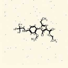 CCOC(=O)c1nc(CC)n(-c2ccc(NCC(F)(F)F)cc2OC)c1Cl